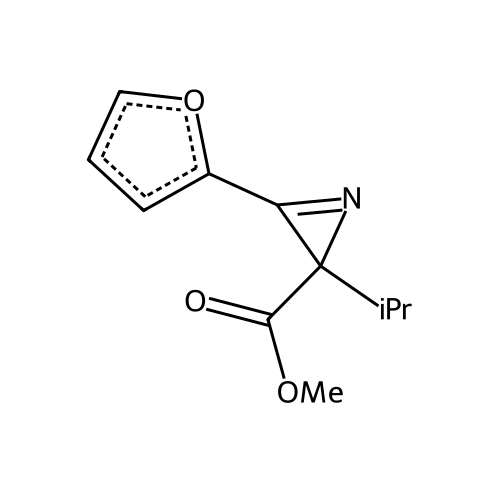 COC(=O)C1(C(C)C)N=C1c1ccco1